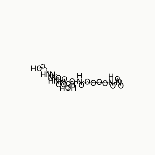 Cc1nc(NCCCc2cccc(O)c2)nc(C)c1C(=O)N[C@@H](CNC(=O)c1cc(O)cc(OCCCNC(=O)CCOCCOCCOCCOCCNC(=O)CCN2C(=O)C=CC2=O)c1)C(=O)O